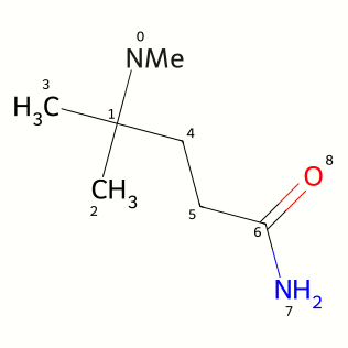 CNC(C)(C)CCC(N)=O